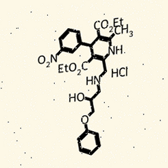 CCOC(=O)C1=C(C)NC(CNCC(O)COc2ccccc2)=C(C(=O)OCC)C1c1cccc([N+](=O)[O-])c1.Cl